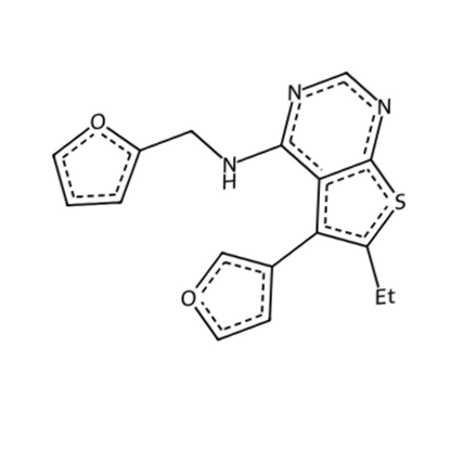 CCc1sc2ncnc(NCc3ccco3)c2c1-c1ccoc1